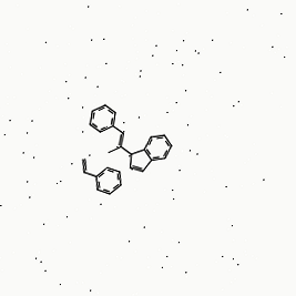 C=Cc1ccccc1.CC(=Cc1ccccc1)C1C=Cc2ccccc21